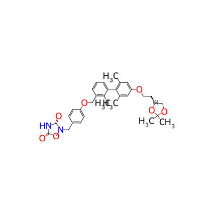 Cc1cc(OCC[C@H]2COC(C)(C)O2)cc(C)c1-c1cccc(COc2ccc(Cn3oc(=O)[nH]c3=O)cc2)c1C